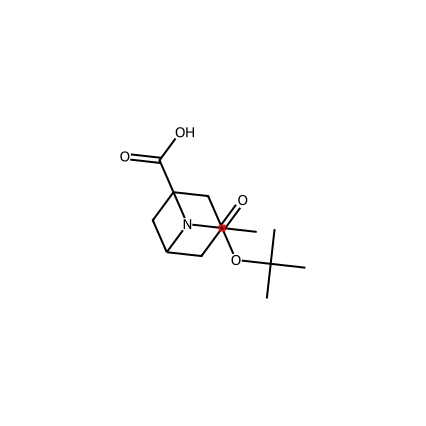 CC1CC2CC(C(=O)O)(C1)N2C(=O)OC(C)(C)C